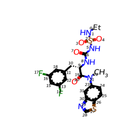 CCNS(=O)(=O)NC(=O)N[C@@H](Cc1cc(F)cc(F)c1)C(=O)N(C)c1ccc2scnc2c1